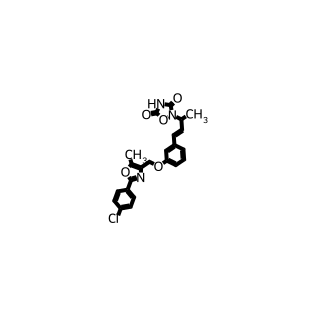 Cc1oc(-c2ccc(Cl)cc2)nc1COc1cccc(/C=C/C(C)n2oc(=O)[nH]c2=O)c1